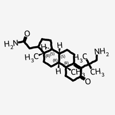 CC(C)(CN)C1=C2CC[C@@H]3[C@@H](CC[C@]4(C)C(CC(N)=O)CC[C@@H]34)[C@@]2(C)CCC1=O